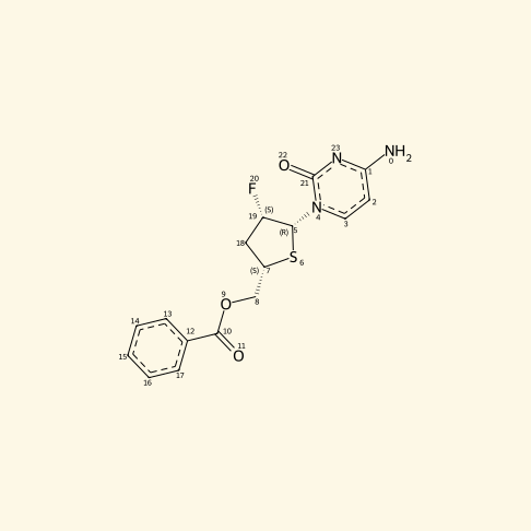 Nc1ccn([C@@H]2S[C@H](COC(=O)c3ccccc3)C[C@@H]2F)c(=O)n1